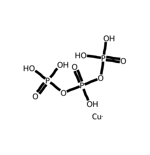 O=P(O)(O)OP(=O)(O)OP(=O)(O)O.[Cu]